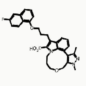 Cc1nn(C)c2c1-c1cccc3c(CCCOc4cccc5cc(F)ccc45)c(C(=O)O)n(c13)CCCOC2